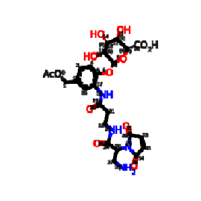 CC(=O)OCc1ccc(O[C@H]2O[C@@H](C(=O)O)[C@H](O)[C@@H](O)[C@@H]2O)c(NC(=O)CCNC(=O)C(CN)N2C(=O)C=CC2=O)c1